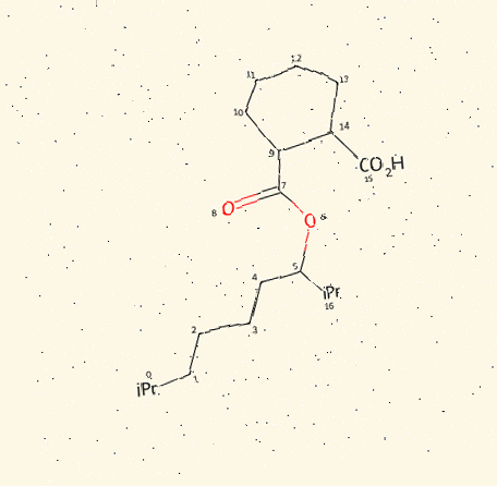 CC(C)CCCCC(OC(=O)C1CCCCC1C(=O)O)C(C)C